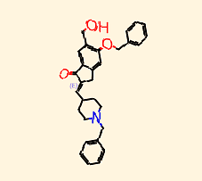 O=C1/C(=C/C2CCN(Cc3ccccc3)CC2)Cc2cc(OCc3ccccc3)c(CO)cc21